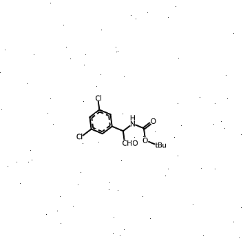 CC(C)(C)OC(=O)NC(C=O)c1cc(Cl)cc(Cl)c1